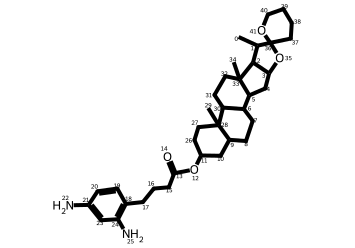 CC1C2C(CC3C4CCC5CC(OC(=O)CCCc6ccc(N)cc6N)CCC5(C)C4CCC32C)OC12CCCCO2